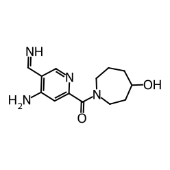 N=Cc1cnc(C(=O)N2CCCC(O)CC2)cc1N